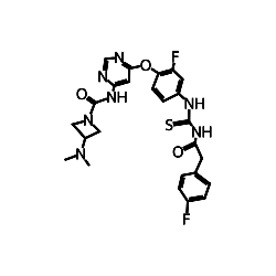 CN(C)C1CN(C(=O)Nc2cc(Oc3ccc(NC(=S)NC(=O)Cc4ccc(F)cc4)cc3F)ncn2)C1